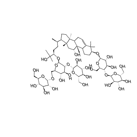 C[C@H](CC[C@@H](O[C@@H]1O[C@H](CO[C@H]2O[C@H](CO)[C@@H](O)[C@H](O)[C@H]2O)[C@@H](O)[C@H](O)[C@H]1O[C@H]1O[C@@H](CO)[C@H](O)[C@@H](O)[C@@H]1O)C(C)(C)O)C1CC[C@@]2(C)C3CC=C4C(CC[C@H](O[C@@H]5O[C@H](CO)[C@@H](O[C@H]6O[C@H](CO)[C@@H](O)[C@H](O)[C@H]6O)[C@H](O)[C@H]5O)C4(C)C)[C@]3(C)[C@H](O)C[C@]12C